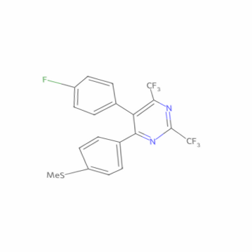 CSc1ccc(-c2nc(C(F)(F)F)nc(C(F)(F)F)c2-c2ccc(F)cc2)cc1